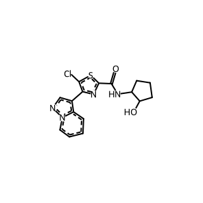 O=C(NC1CCCC1O)c1nc(-c2cnn3ccccc23)c(Cl)s1